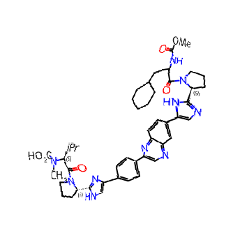 COC(=O)NC(CC1CCCCC1)C(=O)N1CCC[C@H]1c1ncc(-c2ccc3nc(-c4ccc(-c5c[nH]c([C@@H]6CCCN6C(=O)[C@H](C(C)C)N(C)C(=O)O)n5)cc4)cnc3c2)[nH]1